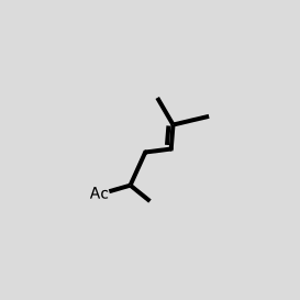 CC(=O)C(C)CC=C(C)C